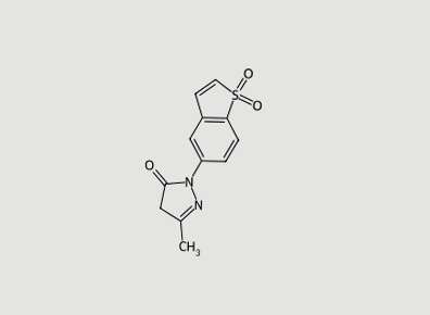 CC1=NN(c2ccc3c(c2)C=CS3(=O)=O)C(=O)C1